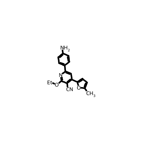 CCOc1nc(-c2ccc(N)cc2)cc(-c2ccc(C)o2)c1C#N